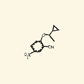 CC(Oc1ccc([N+](=O)[O-])cc1C#N)C1CC1